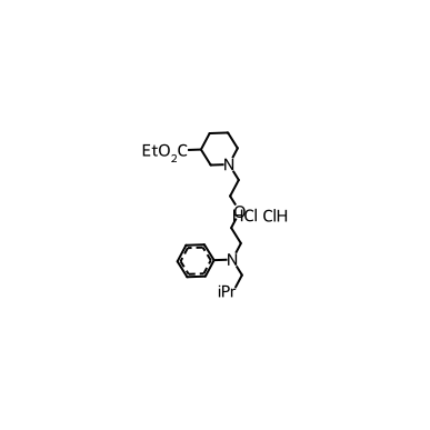 CCOC(=O)C1CCCN(CCOCCN(CC(C)C)c2ccccc2)C1.Cl.Cl